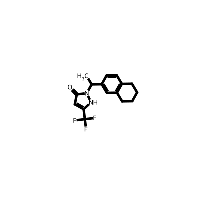 CC(c1ccc2c(c1)CCCC2)n1[nH]c(C(F)(F)F)cc1=O